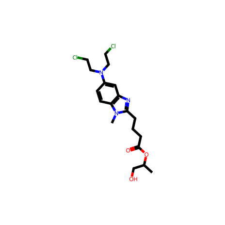 CC(CO)OC(=O)CCCc1nc2cc(N(CCCl)CCCl)ccc2n1C